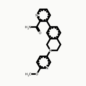 COc1ccc(N2CCc3ccc(-c4cccnc4C(N)=O)cc3C2)cn1